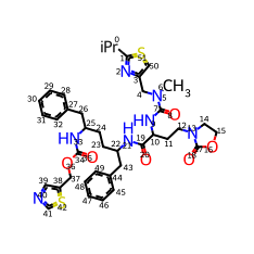 CC(C)c1nc(CN(C)C(=O)NC(CCN2CCOC2=O)C(=O)NC(CCC(Cc2ccccc2)NC(=O)OCc2cncs2)Cc2ccccc2)cs1